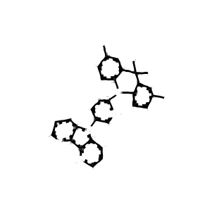 Cc1ccc2c(c1)C(C)(C)c1cc(C)ccc1N2c1ccc(-n2c3cccnc3c3ncccc32)cn1